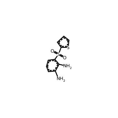 Nc1cccc(S(=O)(=O)c2cccs2)c1N